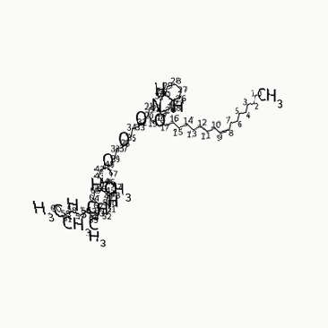 CCCCCCCC/C=C\CCCCCCCCOCC(CN1CC[C@H]2CCCC[C@@H]2C1)OCCCOCCCO[C@H]1CC[C@@]2(C)C(=CC[C@H]3[C@@H]4CC[C@H]([C@H](C)CCCC(C)C)[C@@]4(C)CC[C@@H]32)C1